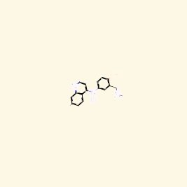 CCN(CC)Cc1cc(Nc2ccnc3cc(C(F)(F)F)ccc23)ccc1O